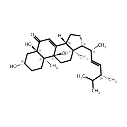 CC(C)[C@@H](C)C=C[C@@H](C)[C@H]1CC[C@H]2C3=CC(=O)[C@@]4(O)C[C@@H](O)CC[C@]4(C)[C@@]3(O)CC[C@]12C